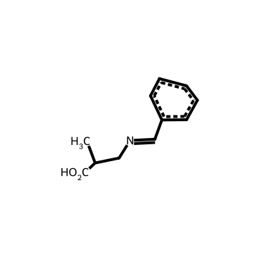 CC(CN=Cc1ccccc1)C(=O)O